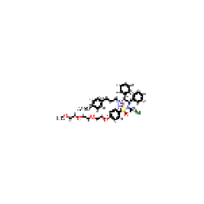 CCOCCOCCOCCOc1ccc(S(=O)(=O)[N]([Ru][Cl])[C@H](c2ccccc2)[C@@H](NCCCc2ccc(OC)cc2)c2ccccc2)cc1